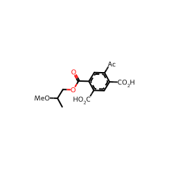 COC(C)COC(=O)c1cc(C(C)=O)c(C(=O)O)cc1C(=O)O